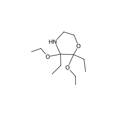 CCOC1(CC)NCCOC1(CC)OCC